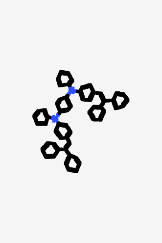 C(=C(c1ccccc1)c1ccccc1)c1ccc(N(c2ccccc2)c2ccc(N(c3ccccc3)c3ccc(C=C(c4ccccc4)c4ccccc4)cc3)cc2)cc1